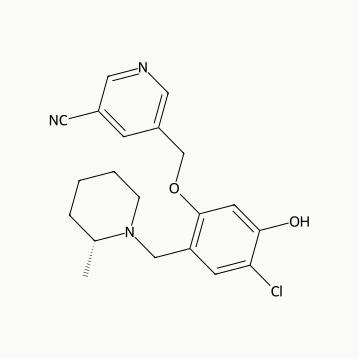 C[C@@H]1CCCCN1Cc1cc(Cl)c(O)cc1OCc1cncc(C#N)c1